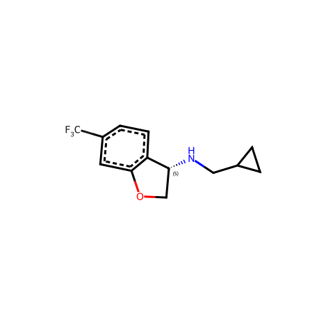 FC(F)(F)c1ccc2c(c1)OC[C@H]2NCC1CC1